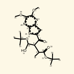 COc1nc2cc(C(=O)C(C(O)OC(C)(C)C)C(C)C(=O)OC(C)(C)C)sc2nc1OC